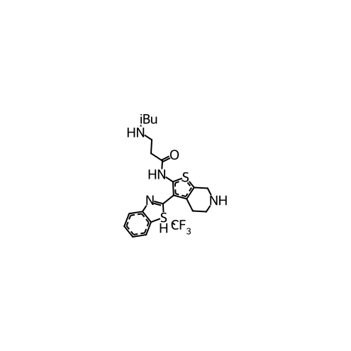 CC[C@@H](C)NCCC(=O)Nc1sc2c(c1C1=Nc3ccccc3[SH]1C(F)(F)F)CCNC2